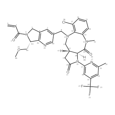 C=CC(=O)N1Cc2cc(CN3C[C@H]4CC(=O)N(c5cc(C(F)(F)F)cc(C)n5)[C@@H]4C(=O)N(C)c4cccc(Cl)c43)cnc2[C@@H]1COC